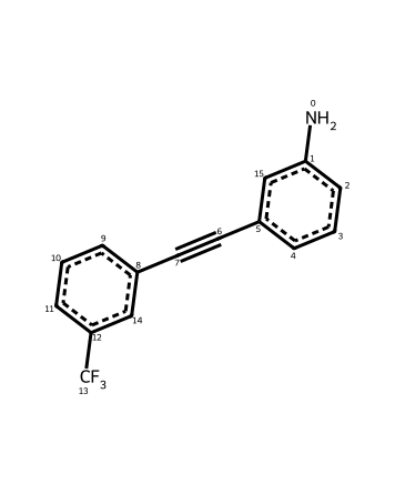 Nc1cccc(C#Cc2cccc(C(F)(F)F)c2)c1